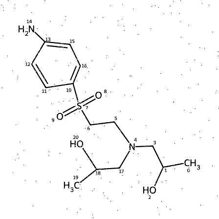 CC(O)CN(CCS(=O)(=O)c1ccc(N)cc1)CC(C)O